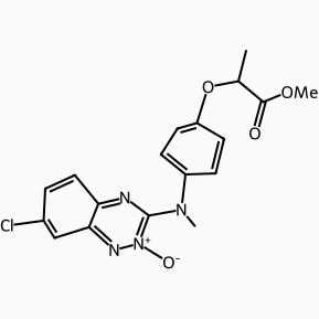 COC(=O)C(C)Oc1ccc(N(C)c2nc3ccc(Cl)cc3n[n+]2[O-])cc1